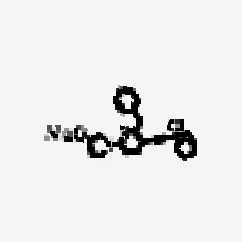 CO[C@H]1CCN(c2ccc(C#CC3(O)CC4CCC3C4)c(Cc3ccccc3)n2)C1